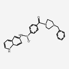 O=C(c1ccc([S+]([O-])NC2=CC3=CC=CNC3C=C2)cc1)N1CCN(Cc2ccccc2)CC1